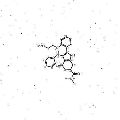 COCCOc1cnccc1-c1[nH]c2c(c1Nc1ccccc1)C(=O)CC(C(=O)N(C)C)C2